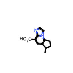 CC1CCc2c1cc(C(=O)O)c1nccn21